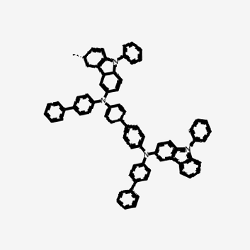 C[C@@H]1C=CC2=C(C1)C1C=C(N(C3=CCC(c4ccc(N(c5ccc(-c6ccccc6)cc5)c5ccc6c(c5)c5ccccc5n6-c5ccccc5)cc4)C=C3)c3ccc(-c4ccccc4)cc3)C=CC1N2c1ccccc1